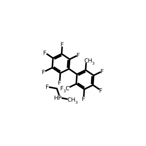 CPCF.Cc1c(F)c(F)c(F)c(C(F)(F)F)c1-c1c(F)c(F)c(F)c(F)c1F